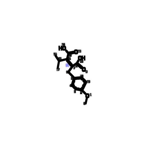 COc1ccc(C/C(C(=O)O)=C(/C(=O)O)C(C)C)cc1